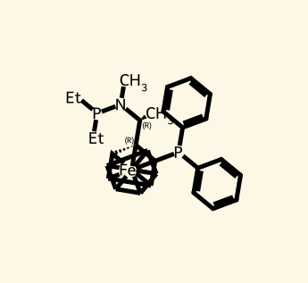 CCP(CC)N(C)[C@H](C)[C@@]12[CH]3[CH]4[CH]5[C]1(P(c1ccccc1)c1ccccc1)[Fe]45321678[CH]2[CH]1[CH]6[CH]7[CH]28